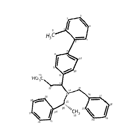 Cc1ccccc1-c1ccc(C(CC(=O)O)N(Cc2ccccc2)[C@H](C)c2ccccc2)cc1